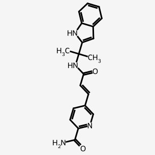 CC(C)(NC(=O)C=Cc1ccc(C(N)=O)nc1)c1cc2ccccc2[nH]1